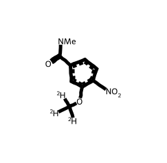 [2H]C([2H])([2H])Oc1cc(C(=O)NC)ccc1[N+](=O)[O-]